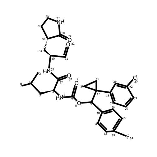 CC(C)C[C@H](NC(=O)OC(c1ccc(F)cc1)C1(c2cccc(Cl)c2)CC1)C(=O)N[C@H](C=O)C[C@@H]1CCNC1=O